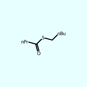 CCCCCSC(=O)CCC